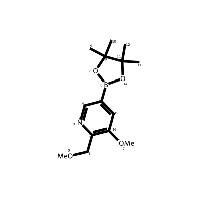 COCc1ncc(B2OC(C)(C)C(C)(C)O2)cc1OC